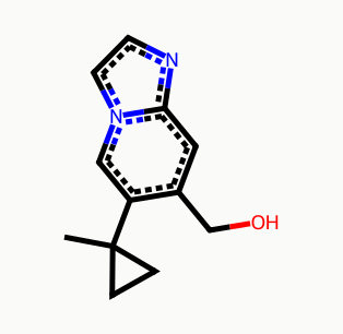 CC1(c2cn3ccnc3cc2CO)CC1